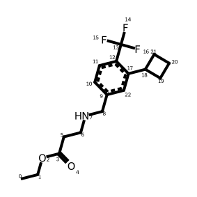 CCOC(=O)CCNCc1ccc(C(F)(F)F)c(C2CCC2)c1